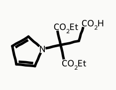 CCOC(=O)C(CC(=O)O)(C(=O)OCC)n1cccc1